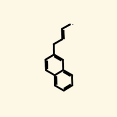 [CH2]/C=C/Cc1ccc2ccccc2c1